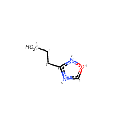 O=C(O)CCc1ncon1